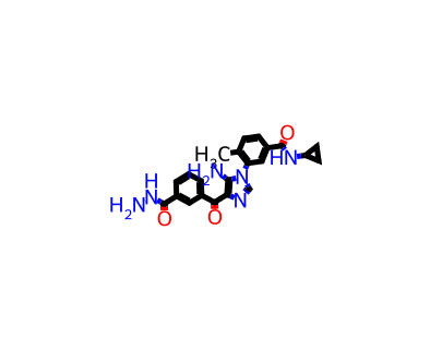 Cc1ccc(C(=O)NC2CC2)cc1-n1cnc(C(=O)c2cccc(C(=O)NN)c2)c1N